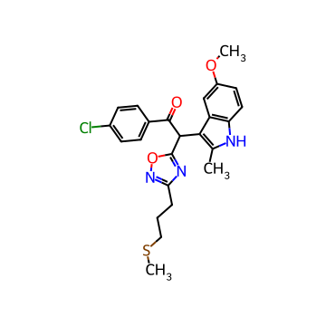 COc1ccc2[nH]c(C)c(C(C(=O)c3ccc(Cl)cc3)c3nc(CCCSC)no3)c2c1